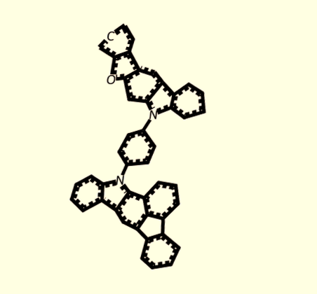 c1ccc2c(c1)-c1cccc3c1c-2cc1c2ccccc2n(-c2ccc(-n4c5ccccc5c5cc6c(cc54)oc4ccccc46)cc2)c31